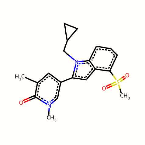 Cc1cc(-c2cc3c(S(C)(=O)=O)cccc3n2CC2CC2)cn(C)c1=O